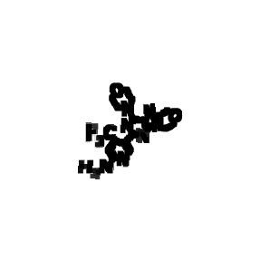 Nc1cc(C(F)(F)F)c(-c2nc(N3CCOCC3)c3nc4n(c3n2)CCOC4)cn1